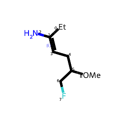 CC/C(N)=C\CC(CF)OC